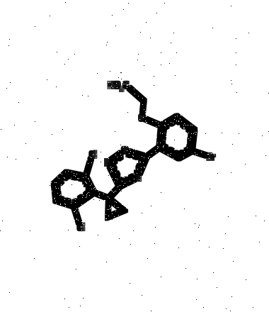 O=C(O)COc1ccc(Br)cc1-c1nc(C2(c3c(Cl)cccc3Cl)CC2)no1